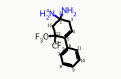 NC1(N)CC=C(c2ccccc2)C(C(F)(F)F)(C(F)(F)F)C1